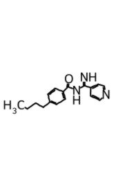 CCCCc1ccc(C(=O)NC(=N)c2ccncc2)cc1